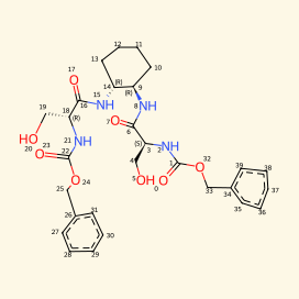 O=C(N[C@@H](CO)C(=O)N[C@@H]1CCCC[C@H]1NC(=O)[C@@H](CO)NC(=O)OCc1ccccc1)OCc1ccccc1